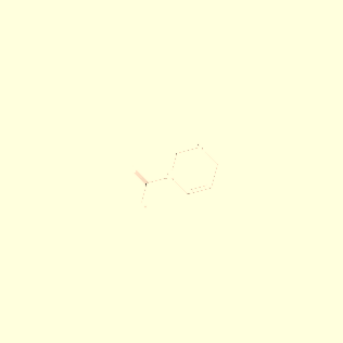 CC1NCC=CN1C(=O)O